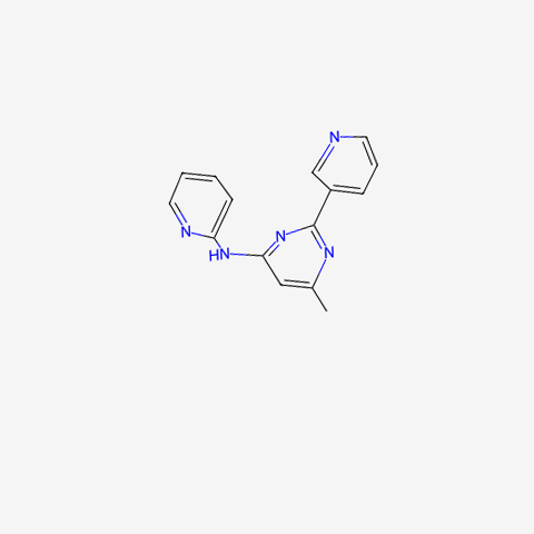 Cc1cc(Nc2ccccn2)nc(-c2cccnc2)n1